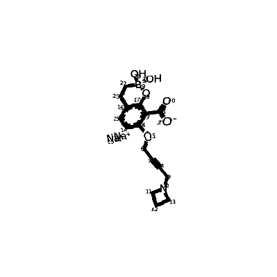 O=C([O-])c1c(OCC#CCN2CCC2)ccc2c1O[B-](O)(O)CC2.[Na+].[Na+]